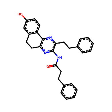 O=C(CCc1ccccc1)Nc1nc2c(nc1CCc1ccccc1)-c1ccc(O)cc1CC2